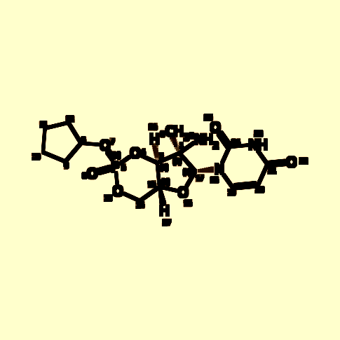 C[C@@]1(N)[C@@H]2O[P@](=O)(OC3CCCC3)OC[C@H]2O[C@H]1n1ccc(=O)[nH]c1=O